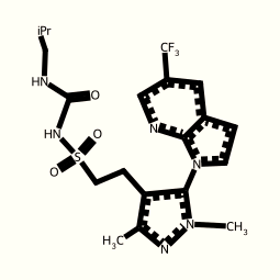 Cc1nn(C)c(-n2ccc3cc(C(F)(F)F)cnc32)c1CCS(=O)(=O)NC(=O)NCC(C)C